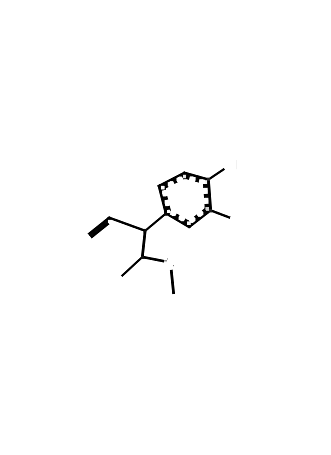 C=CC(c1ccc(Cl)c(Cl)c1)C(C)NC